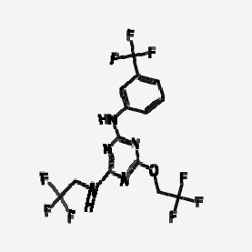 FC(F)(F)CNc1nc(Nc2cccc(C(F)(F)F)c2)nc(OCC(F)(F)F)n1